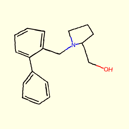 OCC1CCCN1Cc1ccccc1-c1ccccc1